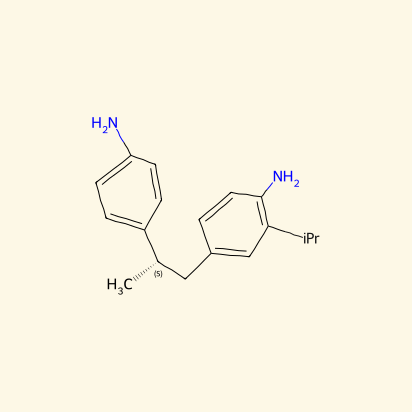 CC(C)c1cc(C[C@H](C)c2ccc(N)cc2)ccc1N